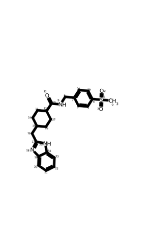 CS(=O)(=O)c1ccc(CNC(=O)C2CCC(Cc3nc4ccccc4[nH]3)CC2)cc1